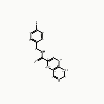 O=C(NCc1ccc(F)cc1)C1=CSC2=C(C=NCN2)N1